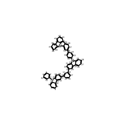 c1ccc(-n2c3ccccc3c3cc(-c4cccc(-c5ccc6c(c5)c5ccccc5n6-c5ccc(-c6ccc7c8cccc9c%10ccccc%10n(c7c6)c98)cc5)c4)ccc32)cc1